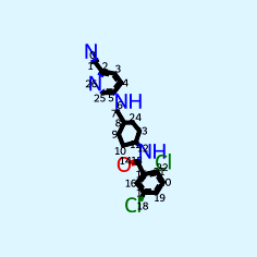 N#Cc1ccc(NCC2CCC(NC(=O)c3cc(Cl)ccc3Cl)CC2)cn1